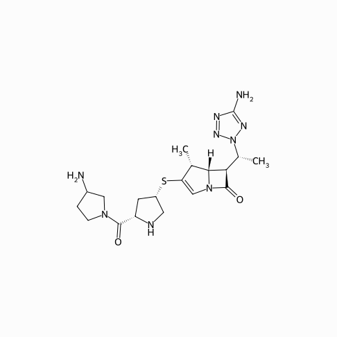 C[C@H]([C@H]1C(=O)N2C=C(S[C@@H]3CN[C@H](C(=O)N4CCC(N)C4)C3)[C@H](C)[C@H]12)n1nnc(N)n1